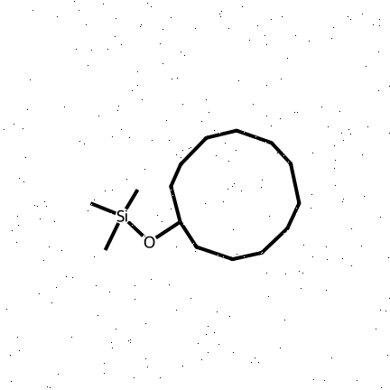 C[Si](C)(C)OC1CCCCCCCCCCC1